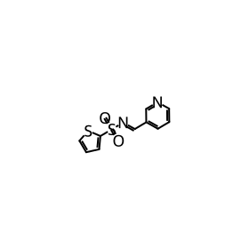 O=S(=O)(/N=C/c1cccnc1)c1cccs1